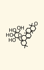 CC1(C)CC[C@]2(C[C@@H]3OC(CO)[C@H](O)C(O)C3O)CCC3C(=CCC4[C@@]3(C)CCC3C(C)(C)C(=O)CC[C@@]34C)C2C1